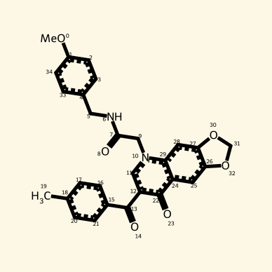 COc1ccc(CNC(=O)Cn2cc(C(=O)c3ccc(C)cc3)c(=O)c3cc4c(cc32)OCO4)cc1